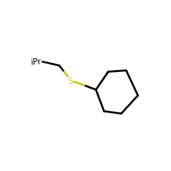 [CH2]C(C)CSC1CCCCC1